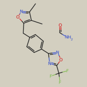 Cc1noc(Cc2ccc(-c3noc(C(F)(F)F)n3)cc2)c1C.NC=O